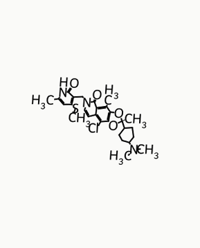 CSc1cc(C)[nH]c(=O)c1Cn1ccc2c(Cl)c3c(c(C)c2c1=O)O[C@@](C)(C1CCC(N(C)C)CC1)O3